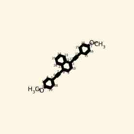 COc1ccc(C#Cc2ccc(C#Cc3ccc(OC)cc3)c3ccccc23)cc1